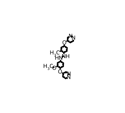 COc1cc(NNc2ccc(Oc3ccnnc3)cc2C)ccc1Oc1ccnnc1